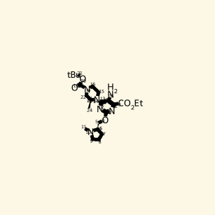 CCOC(=O)c1nc(OC[C@@H]2CCCN2C)nc(N2CCN(C(=O)OC(C)(C)C)C[C@@H]2C)c1N